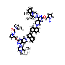 CN(C)C(=O)CN1CCCC1COc1nc2c(c(N3CCN(C(=O)O)C(CC#N)C3)n1)CCN(c1cccc3ccccc13)C2.N#CCC1(Cc2ccccc2)CN(c2nc(OCC3CCCN3)nc3c2CCN(c2cccc4ccccc24)C3)CCN1C(=O)O